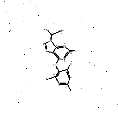 CCCC(CCC)n1nnc2c(Nc3c(C)cc(C)cc3Br)nc(C)nc21